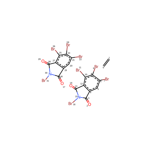 C=C.O=C1c2cc(Br)c(Br)c(Br)c2C(=O)N1Br.O=C1c2cc(Br)c(Br)c(Br)c2C(=O)N1Br